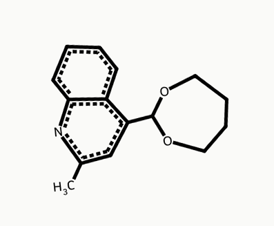 Cc1cc(C2OCCCCO2)c2ccccc2n1